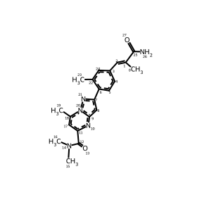 C/C(=C\c1ccc(-c2cc3nc(C(=O)N(C)C)cc(C)n3n2)c(C)c1)C(N)=O